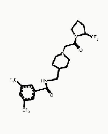 O=C(NCC1CCN(CC(=O)N2CCCC2C(F)(F)F)CC1)c1cc(C(F)(F)F)cc(C(F)(F)F)c1